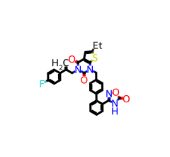 C=C(Cn1c(=O)c2cc(CC)sc2n(Cc2ccc(-c3ccccc3-c3noc(=O)[nH]3)cc2)c1=O)c1ccc(F)cc1